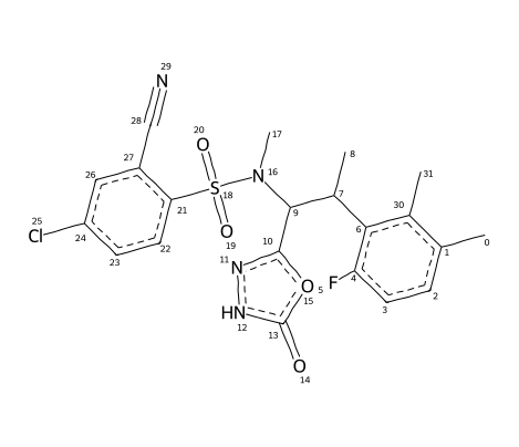 Cc1ccc(F)c(C(C)C(c2n[nH]c(=O)o2)N(C)S(=O)(=O)c2ccc(Cl)cc2C#N)c1C